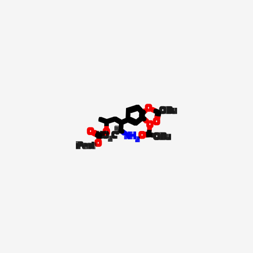 CCCC(C)OC(=O)OC(C)CC(c1ccc(OC(=O)OCC(C)C)c(OC(=O)OCC(C)C)c1)[C@H](N)C(=O)O